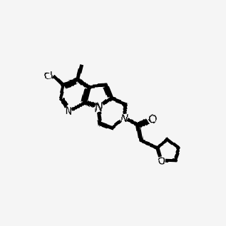 Cc1c(Cl)cnc2c1cc1n2CCN(C(=O)CC2CCCO2)C1